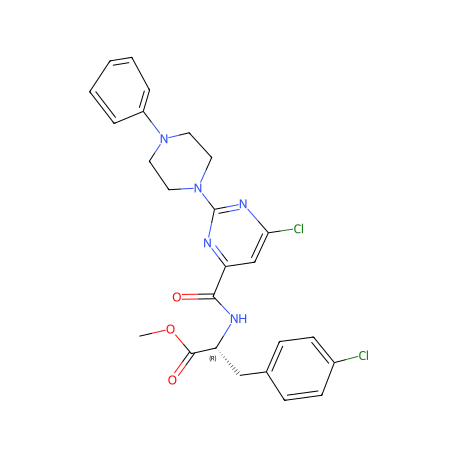 COC(=O)[C@@H](Cc1ccc(Cl)cc1)NC(=O)c1cc(Cl)nc(N2CCN(c3ccccc3)CC2)n1